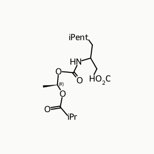 CCCC(C)CC(CC(=O)O)NC(=O)O[C@H](C)OC(=O)C(C)C